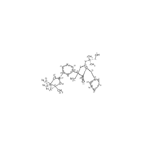 CC(C)(CO)CCCC(C)(C(=O)OCc1ccccc1)c1cccc(B2OC(C)(C)C(C)(C)O2)c1